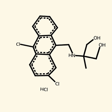 CC(CO)(CO)NCc1c2ccccc2c(Cl)c2ccc(Cl)cc12.Cl